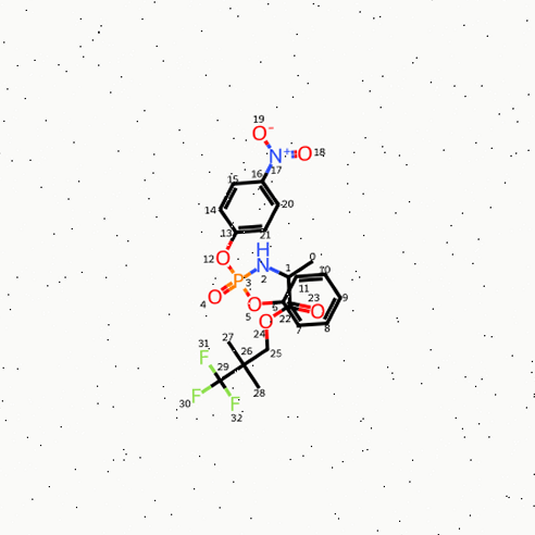 CC(NP(=O)(Oc1ccccc1)Oc1ccc([N+](=O)[O-])cc1)C(=O)OCC(C)(C)C(F)(F)F